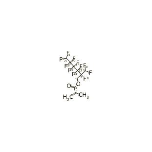 C=C(C)C(=O)OCC(F)(C(F)F)C(F)(F)C(F)(F)C(F)(F)C(F)F